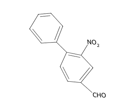 O=Cc1ccc(-c2ccccc2)c([N+](=O)[O-])c1